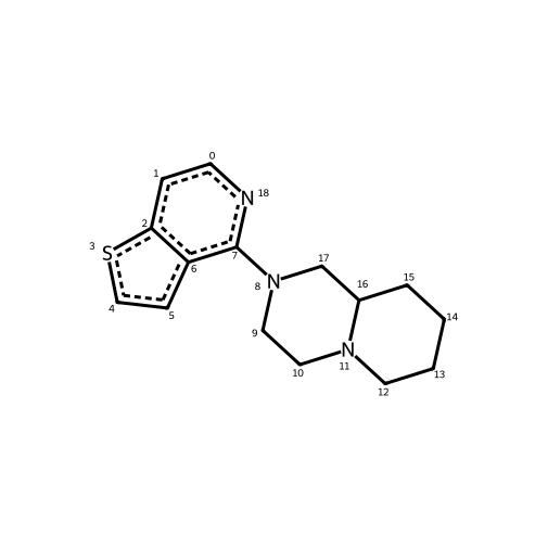 c1cc2sccc2c(N2CCN3CCCCC3C2)n1